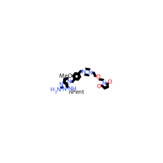 CCCCCNc1nc(N)nc2ccn(Cc3ccc(CN4CCN(CCOCCN5C(=O)C=CC5=O)CC4)cc3OC)c12